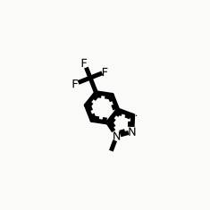 Cn1n[c]c2cc(C(F)(F)F)ccc21